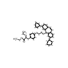 CCOC(=O)C(Cc1ccc(OCCOC2c3cc(-c4ccccc4)ccc3C=Cc3ccc(-c4ccccc4)cc32)cc1)OCC